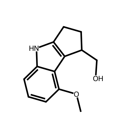 COc1cccc2[nH]c3c(c12)C(CO)CC3